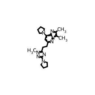 Cc1nc2c(N3CCCC3)cc(CCc3nc(N4CCCC4)nn3C)nn2c1C